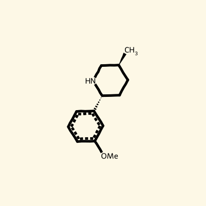 COc1cccc([C@H]2CC[C@H](C)CN2)c1